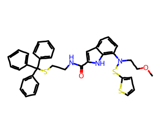 COCCN(Sc1cccs1)c1cccc2cc(C(=O)NCCSC(c3ccccc3)(c3ccccc3)c3ccccc3)[nH]c12